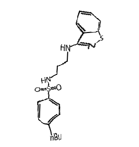 CCCCc1ccc(S(=O)(=O)NCCCNc2nsc3ccccc23)cc1